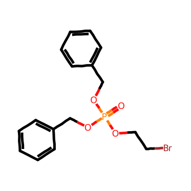 O=P(OCCBr)(OCc1ccccc1)OCc1ccccc1